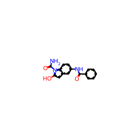 NC(=O)n1c(O)cc2cc(NC(=O)c3ccccc3)ccc21